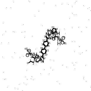 CCCN(Cc1ncc(-c2ccc(-c3ccc(-c4cnc([C@@H]5[C@H]6CC[C@H](C6)N5C(=O)CNC(=O)OC)[nH]4)cc3)cc2)[nH]1)C(=O)CNC(=O)OC